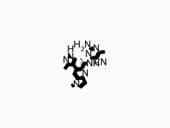 Cc1n[nH]cc1-c1cc2c(ccn2C)nc1[C@H](C)Nc1nc(N)nc(C)c1C#N